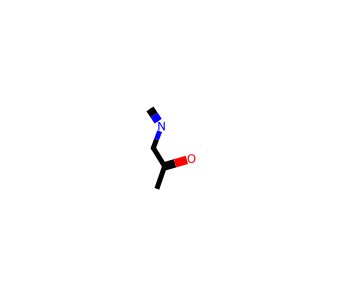 C=NCC(C)=O